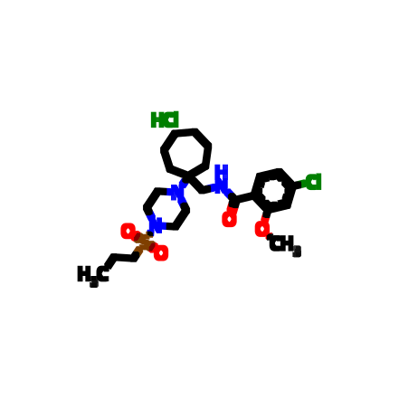 CCCS(=O)(=O)N1CCN(C2(CNC(=O)c3ccc(Cl)cc3OC)CCCCCC2)CC1.Cl